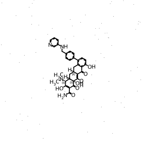 CN(C)[C@@H]1C(O)=C(C(N)=O)C(=O)[C@@]2(O)C(O)=C3C(=O)c4c(O)ccc(-c5ccc(CNc6cccnc6)cc5)c4C[C@H]3C[C@@H]12